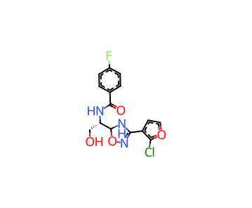 O=C(N[C@@H](CO)C1NC(c2ccoc2Cl)=NO1)c1ccc(F)cc1